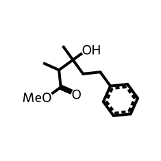 COC(=O)C(C)C(C)(O)CCc1ccccc1